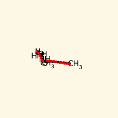 CCC=CCC=CCC=CCC=CCC=CCC=CCCC(=O)NC(C)CNCCNC(=O)c1cccnc1